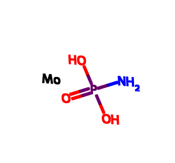 NP(=O)(O)O.[Mo]